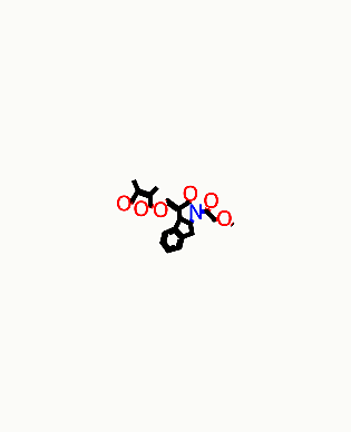 COCC(=O)N1C(=O)/C(=C/OC2OC(=O)C(C)=C2C)C2c3ccccc3CC21